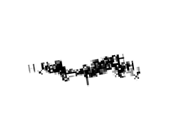 CCOOCC1CN(C(=O)CCCCCNC(=O)O[C@H]2CC[C@@]3(C)C(=CCC4C3CC[C@@]3(C)C4CC[C@@H]3C(C)CCCC(C)C)C2)CC1=O